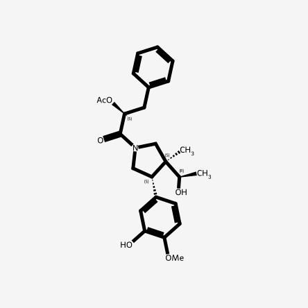 COc1ccc([C@@H]2CN(C(=O)[C@H](Cc3ccccc3)OC(C)=O)C[C@@]2(C)[C@@H](C)O)cc1O